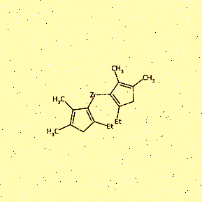 CCC1=[C]([Zr][C]2=C(CC)CC(C)=C2C)C(C)=C(C)C1